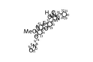 COc1c(OCCCN2CCOCC2)ccc2c(Oc3ccc(-c4cnc(Cc5ccccc5)n(C)c4=O)cc3F)ccnc12